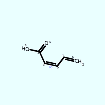 C=C/C=C\C(=O)O